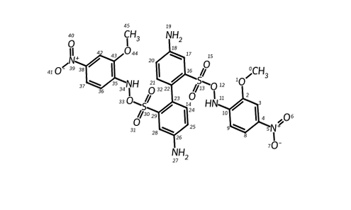 COc1cc([N+](=O)[O-])ccc1NOS(=O)(=O)c1cc(N)ccc1-c1ccc(N)cc1S(=O)(=O)ONc1ccc([N+](=O)[O-])cc1OC